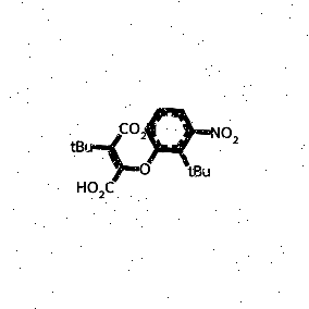 CC(C)(C)C(C(=O)O)=C(Oc1cccc([N+](=O)[O-])c1C(C)(C)C)C(=O)O